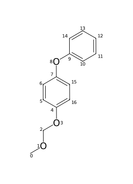 COCOc1ccc(Oc2ccccc2)cc1